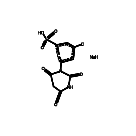 O=C1CC(=O)N(c2cc(Cl)cc(S(=O)(=O)O)c2)C(=O)N1.[NaH]